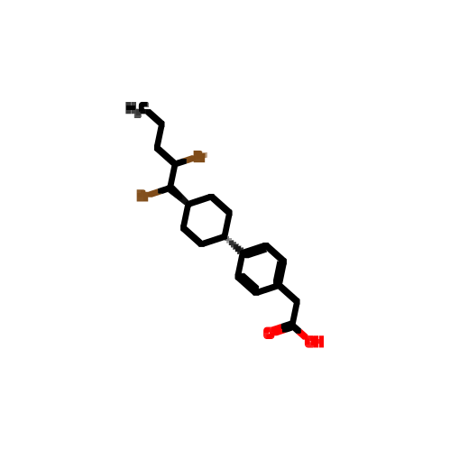 CCCC(Br)C(Br)[C@H]1CC[C@H](c2ccc(CC(=O)O)cc2)CC1